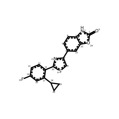 O=c1[nH]c2ccc(-c3csc(-c4ccc(F)cc4C4CC4)n3)cc2o1